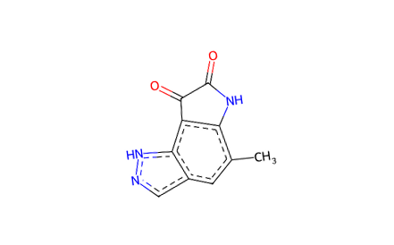 Cc1cc2cn[nH]c2c2c1NC(=O)C2=O